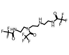 O=C(NCCNCCN(CCNC(=O)C(F)(F)F)C(=O)C(F)(F)F)C(F)(F)F